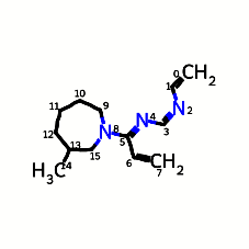 C=C/N=C\N=C(/C=C)N1CCCCC(C)C1